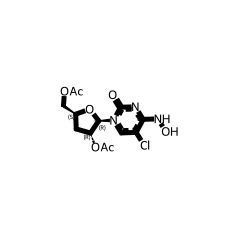 CC(=O)OC[C@@H]1C[C@@H](OC(C)=O)[C@H](n2cc(Cl)c(NO)nc2=O)O1